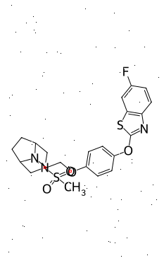 CS(=O)(=O)N1CC2CCC(C1)N2CCOc1ccc(Oc2nc3ccc(F)cc3s2)cc1